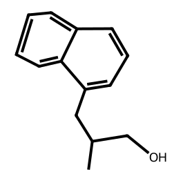 CC(CO)Cc1cccc2ccccc12